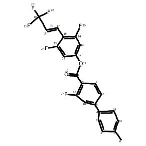 Cc1ccc(-c2ccc(C(=O)Oc3cc(F)c(/C=C/C(F)(F)F)c(F)c3)c(F)c2)cc1